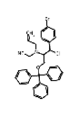 C=CCN(CC#N)C(COC(c1ccccc1)(c1ccccc1)c1ccccc1)C(Cl)c1ccc(Br)cc1